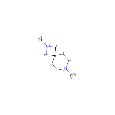 CCCN1CCC2(CC1)CN(CC)C2